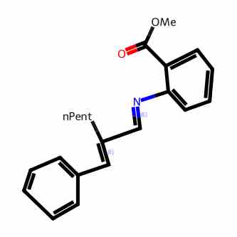 CCCCCC(/C=N/c1ccccc1C(=O)OC)=C\c1ccccc1